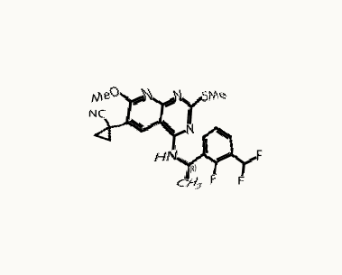 COc1nc2nc(SC)nc(N[C@H](C)c3cccc(C(F)F)c3F)c2cc1C1(C#N)CC1